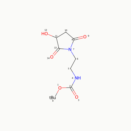 CC(C)(C)OC(=O)NCCN1C(=O)CC(O)C1=O